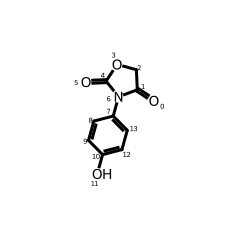 O=C1COC(=O)N1c1ccc(O)cc1